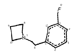 Fc1[c]ccc(CN2CCC2)c1